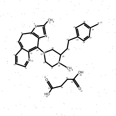 Cc1nc2c(s1)CC=c1cccnc1=C2N1CCN(C)C(CCc2ccc(F)cc2)C1.O=C(O)CCC(=O)O